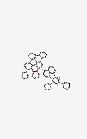 c1ccc(-c2nc(-c3ccccc3)c3c(n2)-c2cccc4c(-c5cc(-c6ccccc6-c6ccccc6)c6ccc7ccc(-c8ccccc8-c8ccccc8)c8ccc5c6c78)ccc-3c24)cc1